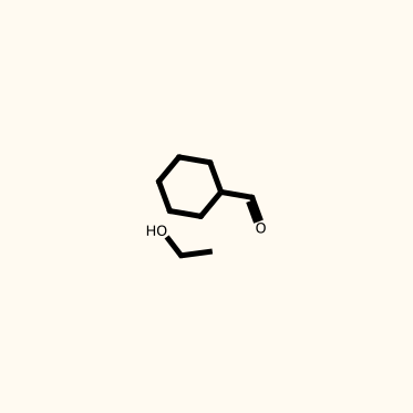 CCO.O=CC1CCCCC1